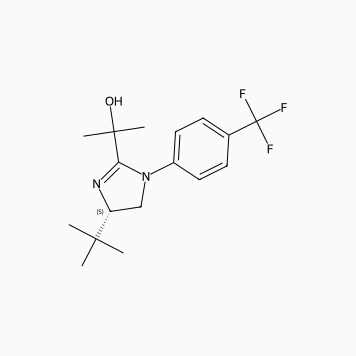 CC(C)(O)C1=N[C@@H](C(C)(C)C)CN1c1ccc(C(F)(F)F)cc1